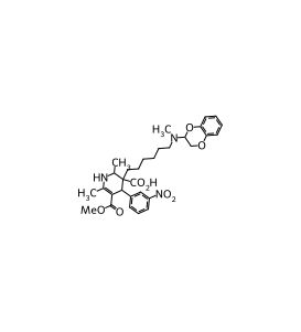 COC(=O)C1=C(C)NC(C)C(CCCCCCN(C)C2COc3ccccc3O2)(C(=O)O)C1c1cccc([N+](=O)[O-])c1